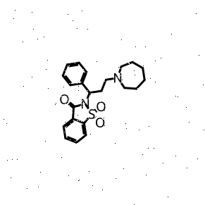 O=C1c2ccccc2S(=O)(=O)N1C(CCN1CCCCCC1)c1ccccc1